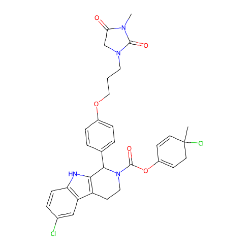 CN1C(=O)CN(CCCOc2ccc(C3c4[nH]c5ccc(Cl)cc5c4CCN3C(=O)OC3=CCC(C)(Cl)C=C3)cc2)C1=O